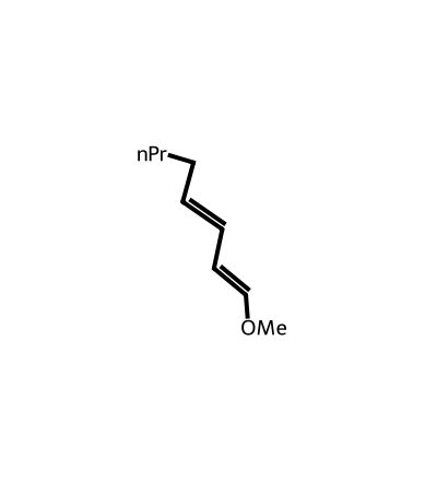 CCCCC=CC=COC